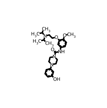 COc1ccc(NC(=O)N2CCN(c3cccc(O)c3)CC2)cc1OCCN(C(C)C)C(C)C